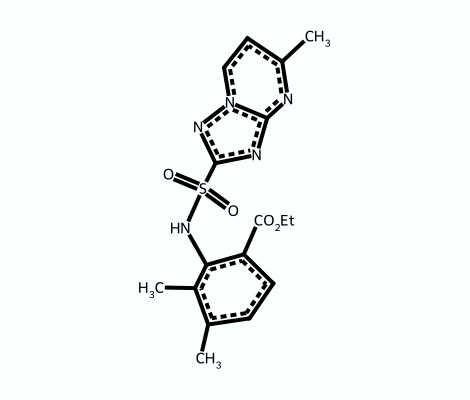 CCOC(=O)c1ccc(C)c(C)c1NS(=O)(=O)c1nc2nc(C)ccn2n1